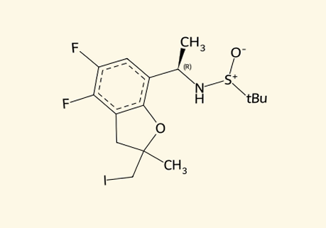 C[C@@H](N[S+]([O-])C(C)(C)C)c1cc(F)c(F)c2c1OC(C)(CI)C2